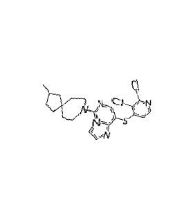 CC1CCC2(CCN(c3ncc(Sc4ccnc(Cl)c4Cl)c4nccn34)CC2)C1